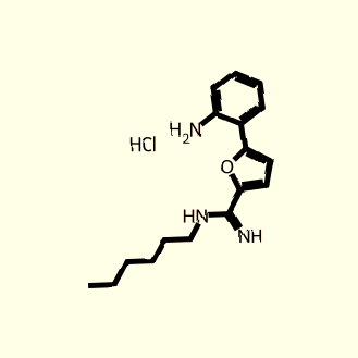 CCCCCCNC(=N)c1ccc(-c2ccccc2N)o1.Cl